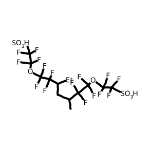 CCC(CC(C)C(F)(F)C(F)(F)OC(F)(F)C(F)(F)S(=O)(=O)O)C(F)(F)C(F)(F)OC(F)(F)C(F)(F)S(=O)(=O)O